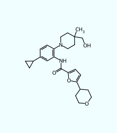 CC1(CO)CCN(c2ccc(C3CC3)cc2NC(=O)c2ccc(C3CCOCC3)o2)CC1